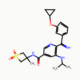 CC(C)Nc1cc(C(=O)NC2(C)CS(=O)(=O)C2)cnc1C(=N)c1cccc(OC2CC2)c1